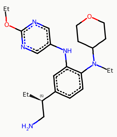 CCOc1ncc(Nc2cc([C@H](CC)CN)ccc2N(CC)C2CCOCC2)cn1